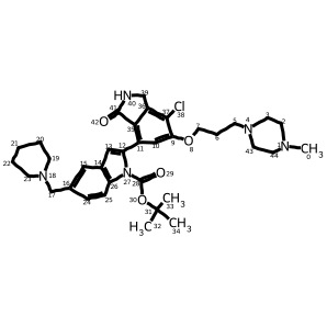 CN1CCN(CCCOc2cc(-c3cc4cc(CN5CCCCC5)ccc4n3C(=O)OC(C)(C)C)c3c(c2Cl)CNC3=O)CC1